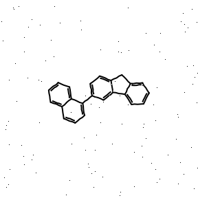 c1ccc2c(c1)Cc1ccc(-c3cccc4ccccc34)cc1-2